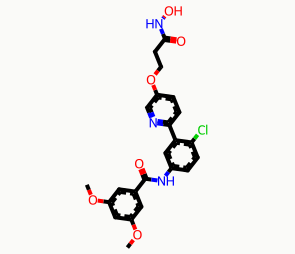 COc1cc(OC)cc(C(=O)Nc2ccc(Cl)c(-c3ccc(OCCC(=O)NO)cn3)c2)c1